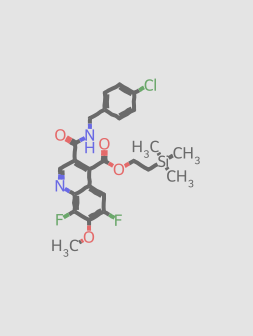 COc1c(F)cc2c(C(=O)OCC[Si](C)(C)C)c(C(=O)NCc3ccc(Cl)cc3)cnc2c1F